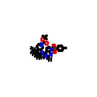 [2H]c1nc(N(C2CN(C(=O)OC(C)(C)C)CCC2C([2H])([2H])[2H])C([2H])([2H])[2H])c2ccn(S(=O)(=O)c3ccc(C)cc3)c2n1